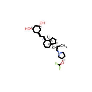 CC(CN1CC[C@H](OC(F)F)C1)[C@H]1CC[C@H]2/C(=C/C=C3C[C@@H](O)C[C@H](O)C3)CCC[C@]12C